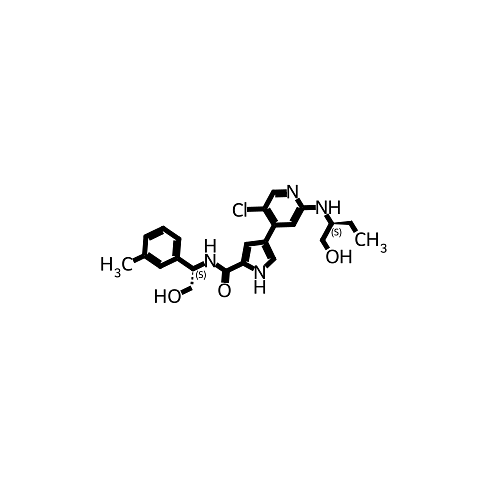 CC[C@@H](CO)Nc1cc(-c2c[nH]c(C(=O)N[C@H](CO)c3cccc(C)c3)c2)c(Cl)cn1